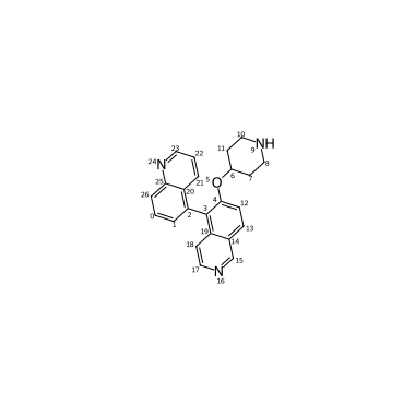 c1cc(-c2c(OC3CCNCC3)ccc3cnccc23)c2cccnc2c1